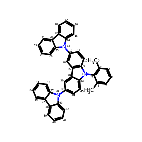 Cc1cccc(C)c1-n1c2ccc(-n3c4ccccc4c4ccccc43)cc2c2cc(-n3c4ccccc4c4ccccc43)ccc21